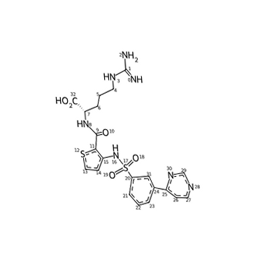 N=C(N)NCCC[C@H](NC(=O)c1sccc1NS(=O)(=O)c1cccc(-c2ccncn2)c1)C(=O)O